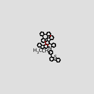 CC1(C)c2ccccc2-c2ccc(N(c3ccc(-c4cccc5c4sc4ccccc45)cc3)c3ccccc3-c3cccc4c3-c3ccccc3C43c4ccccc4-c4ccccc4-c4ccccc43)cc21